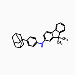 CC1(C)c2ccccc2-c2ccc(Nc3ccc(C45CC6CC(CC(C6)C4)C5)cc3)cc21